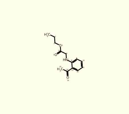 CCCOC(=O)CNc1ccccc1C(C)=O